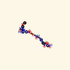 NC(=O)c1c(-c2ccc(Oc3ccccc3)cc2)nn2c1NCC[C@H]2C1CCN(C(=O)COCCOCCNC(=O)CCCN2CCN(c3ccc4c(c3)C(=O)N(C3CCC(=O)NC3=O)C4=O)CC2)CC1